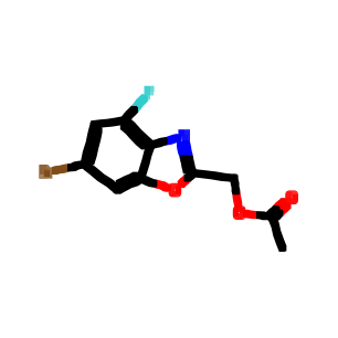 CC(=O)OCc1nc2c(F)cc(Br)cc2o1